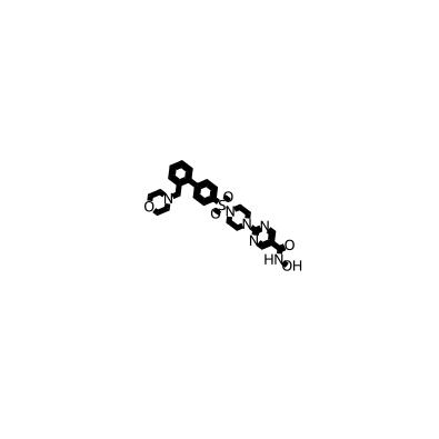 O=C(NO)c1cnc(N2CCN(S(=O)(=O)c3ccc(-c4ccccc4CN4CCOCC4)cc3)CC2)nc1